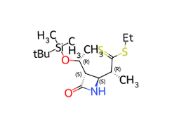 CCSC(=S)[C@H](C)[C@H]1NC(=O)[C@@H]1[C@@H](C)O[Si](C)(C)C(C)(C)C